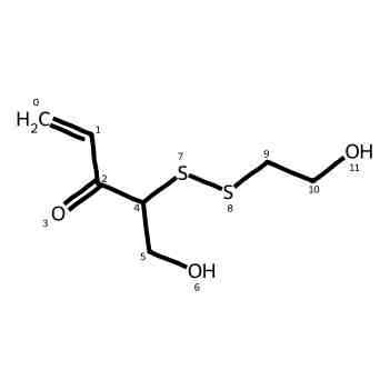 C=CC(=O)C(CO)SSCCO